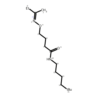 CC/C(C)=N/OCCCC(=O)NCCCCC(C)(C)C